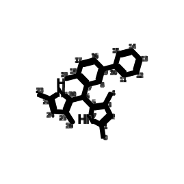 Cc1cc(C)c(C(c2cc(-c3ccccc3)ccc2C)c2[nH]c(C)cc2C)[nH]1